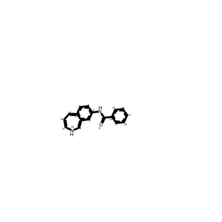 O=C(Nc1ccc2c(c1)=CNC=CC=2)c1ccccc1